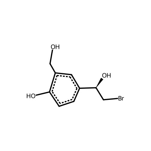 OCc1cc([C@@H](O)CBr)ccc1O